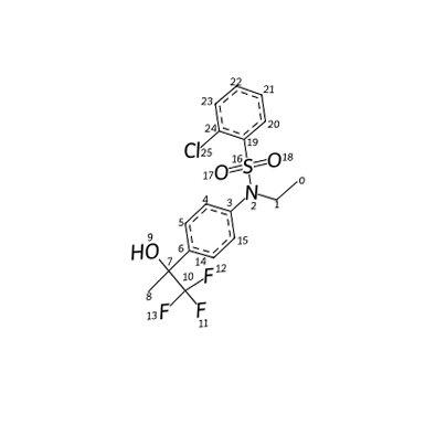 CCN(c1ccc(C(C)(O)C(F)(F)F)cc1)S(=O)(=O)c1ccccc1Cl